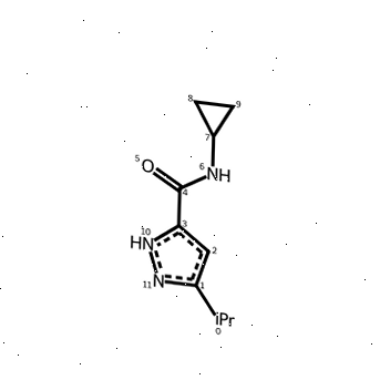 CC(C)c1cc(C(=O)NC2CC2)[nH]n1